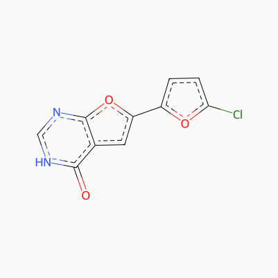 O=c1[nH]cnc2oc(-c3ccc(Cl)o3)cc12